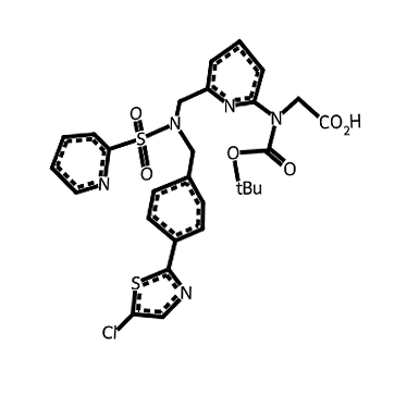 CC(C)(C)OC(=O)N(CC(=O)O)c1cccc(CN(Cc2ccc(-c3ncc(Cl)s3)cc2)S(=O)(=O)c2ccccn2)n1